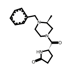 C[C@H]1CN(C(=O)[C@@H]2CCC(=O)N2)CCN1Cc1ccccc1